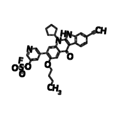 C#Cc1ccc2c(c1)[nH]c1c2c(=O)c2cc(OCCCC)c(-c3cncc(OS(=O)(=O)F)c3)cc2n1C1CCCC1